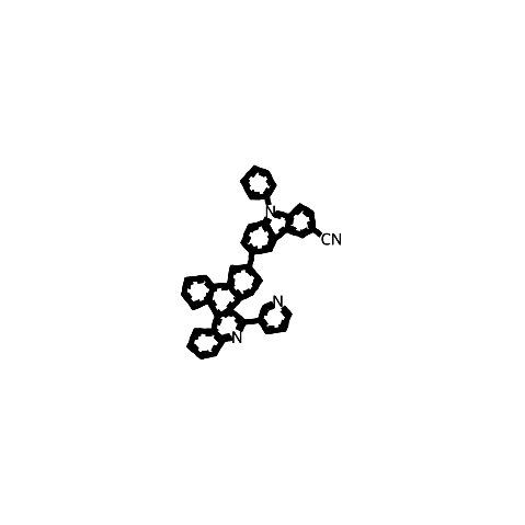 N#Cc1ccc2c(c1)c1cc(-c3ccc4c(c3)c3ccccc3c3c5ccccc5nc(-c5cccnc5)c43)ccc1n2-c1ccccc1